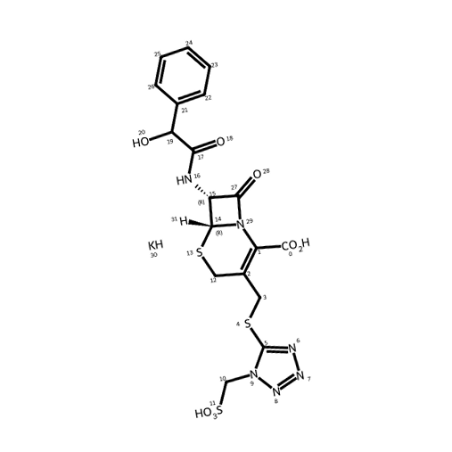 O=C(O)C1=C(CSc2nnnn2CS(=O)(=O)O)CS[C@@H]2[C@H](NC(=O)C(O)c3ccccc3)C(=O)N12.[KH]